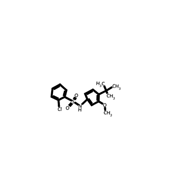 COc1cc(NS(=O)(=O)c2ccccc2Cl)ccc1C(C)(C)C